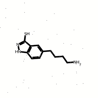 NCCCCc1ccc2[nH]nc(S)c2c1